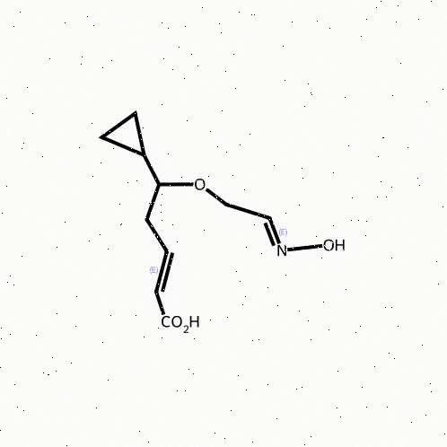 O=C(O)/C=C/CC(OC/C=N/O)C1CC1